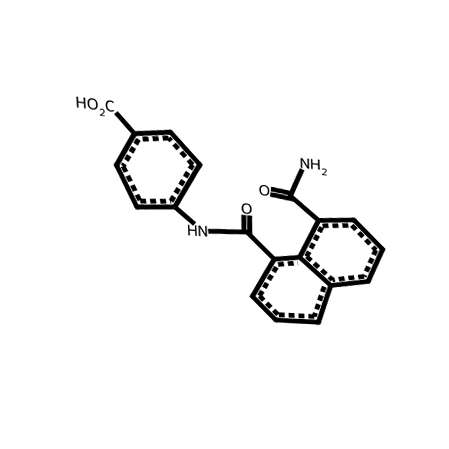 NC(=O)c1cccc2cccc(C(=O)Nc3ccc(C(=O)O)cc3)c12